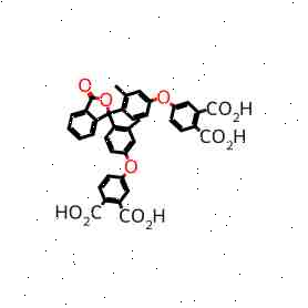 Cc1cc(Oc2ccc(C(=O)O)c(C(=O)O)c2)ccc1C1(c2ccc(Oc3ccc(C(=O)O)c(C(=O)O)c3)cc2C)OC(=O)c2ccccc21